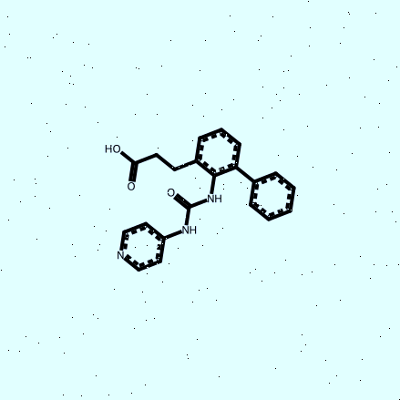 O=C(O)CCc1cccc(-c2ccccc2)c1NC(=O)Nc1ccncc1